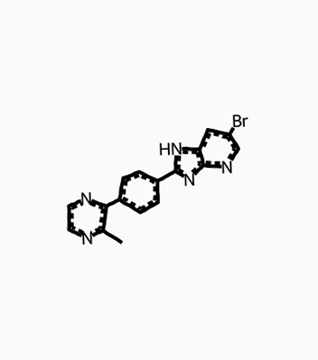 Cc1nccnc1-c1ccc(-c2nc3ncc(Br)cc3[nH]2)cc1